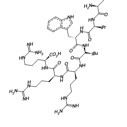 CC[C@H](C)[C@H](NC(=O)[C@H](Cc1c[nH]c2ccccc12)NC(=O)[C@@H](NC(=O)[C@@H](N)CC(C)C)C(C)C)C(=O)N[C@@H](CCCNC(=N)N)C(=O)N[C@@H](CCCNC(=N)N)C(=O)N[C@@H](CCCNC(=N)N)C(=O)O